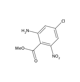 COC(=O)c1c(N)cc(Cl)cc1[N+](=O)[O-]